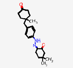 CC1(C)CC/C(=N/Nc2ccc(CC3(C)CCC(=O)CC3)cc2)C(=O)C1